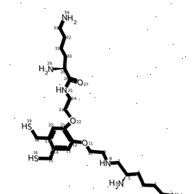 NCCCC[C@H](N)CNCCOc1cc(CS)c(CS)cc1OCCNC(=O)[C@@H](N)CCCCN